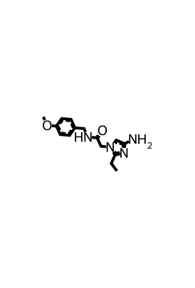 CCc1nc(N)cn1CC(=O)NCc1ccc(OC)cc1